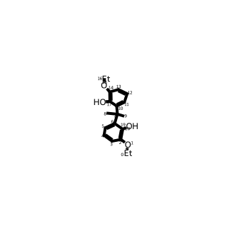 CCOc1cccc(C(C)(C)c2cccc(OCC)c2O)c1O